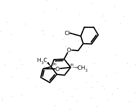 C[C@@]12C=C(OCC3C=CCCC3Cl)[C@@]3(C)CC1=CC=C2O3